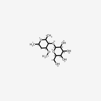 COC1CC(C)OC(C)C1OC1OC(CO)C(O)C(O)C1O